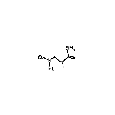 C=C([SiH3])NCN(CC)CC